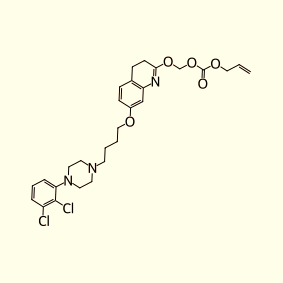 C=CCOC(=O)OCOC1=Nc2cc(OCCCCN3CCN(c4cccc(Cl)c4Cl)CC3)ccc2CC1